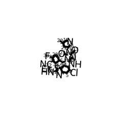 CCNc1nc2cc(Cl)c(Nc3nc(=O)n(-c4cncc(C)c4)c(=O)n3Cc3ccc(F)c(C#N)c3)cc2s1